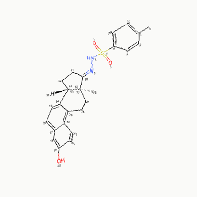 Cc1ccc(S(=O)(=O)NN=C2CC[C@H]3c4ccc5cc(O)ccc5c4CC[C@]23C)cc1